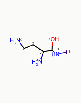 NCC[C@H](N)C(O)NI